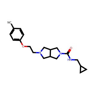 N#Cc1ccc(OCCN2CC3CN(C(=O)NCC4CC4)CC3C2)cc1